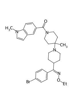 CCO/N=C(\c1ccc(Br)cc1)C1CCN(C2(C)CCN(C(=O)c3ccc4c(ccn4C)c3)CC2)CC1